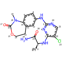 CC(C)[C@H](Nc1nc(Nc2ccc3c(c2)CCOC(=O)N3C)ncc1Cl)C(N)=O